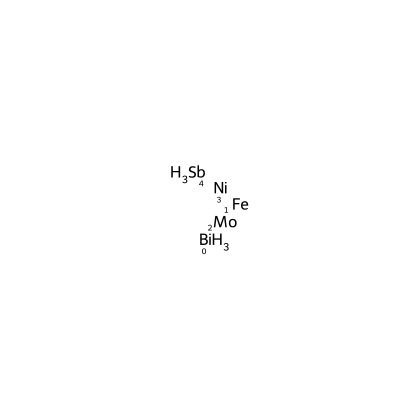 [BiH3].[Fe].[Mo].[Ni].[SbH3]